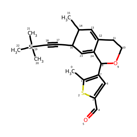 Cc1sc(C=O)cc1C1OCCC2=CC(C)C(C#C[Si](C)(C)C)C=C21